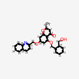 CC(C)c1cc(=O)c2c(OCc3ccccc3CO)cc(OCc3ccc4ccccc4n3)cc2o1